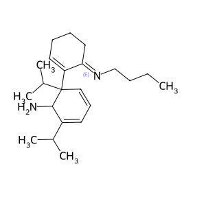 CCCC/N=C1\CCCC=C1C1(C(C)C)C=CC=C(C(C)C)C1N